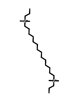 CCC[N+](C)(C)CCCCCCCCCCCCCC[N+](C)(C)CCC